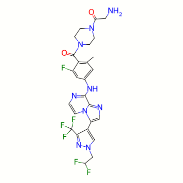 Cc1cc(Nc2nccn3c(-c4cn(CC(F)F)nc4C(F)(F)F)cnc23)cc(F)c1C(=O)N1CCN(C(=O)CN)CC1